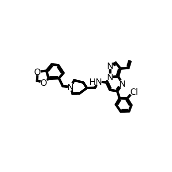 C=Cc1cnn2c(NCC3CCN(Cc4cccc5c4OCO5)CC3)cc(-c3ccccc3Cl)nc12